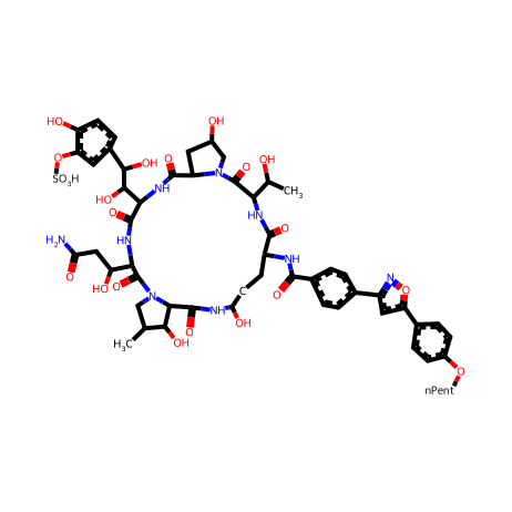 CCCCCOc1ccc(-c2cc(-c3ccc(C(=O)NC4CCC(O)NC(=O)C5C(O)C(C)CN5C(=O)C(C(O)CC(N)=O)NC(=O)C(C(O)C(O)c5ccc(O)c(OS(=O)(=O)O)c5)NC(=O)C5CC(O)CN5C(=O)C(C(C)O)NC4=O)cc3)no2)cc1